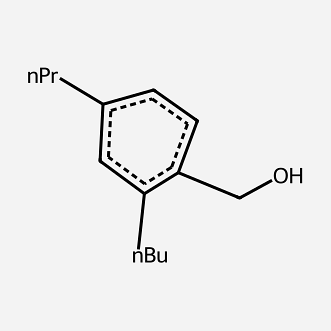 CCCCc1cc(CCC)ccc1CO